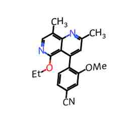 CCOc1ncc(C)c2nc(C)cc(-c3ccc(C#N)cc3OC)c12